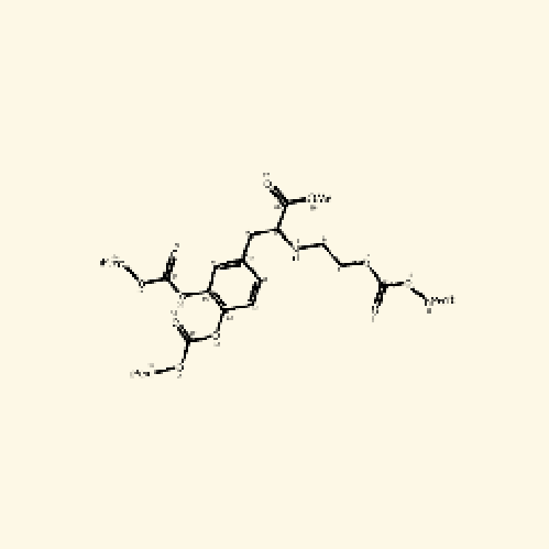 CCCCCOC(=O)OCCN[C@@H](Cc1ccc(OC(=O)OC(C)CCC)c(OC(=O)OC(C)CCC)c1)C(=O)OC